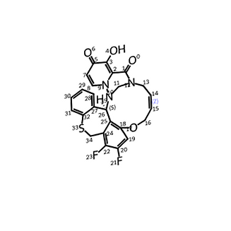 O=C1c2c(O)c(=O)ccn2N2CN1C/C=C\COc1cc(F)c(F)c3c1[C@H]2c1ccccc1SC3